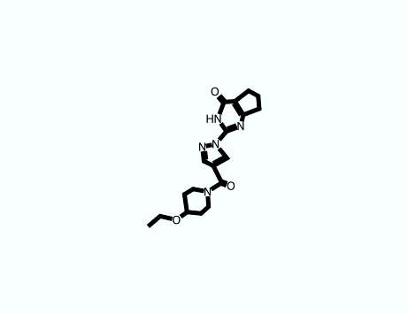 CCOC1CCN(C(=O)c2cnn(-c3nc4c(c(=O)[nH]3)CCC4)c2)CC1